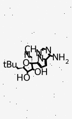 C=NC[C@@]1(c2ccc3c(N)ncnn23)O[C@H](CC(C)(C)C)C(O)C1O